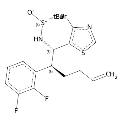 C=CCC[C@@H](c1cccc(F)c1F)[C@H](N[S@+]([O-])C(C)(C)C)c1scnc1Br